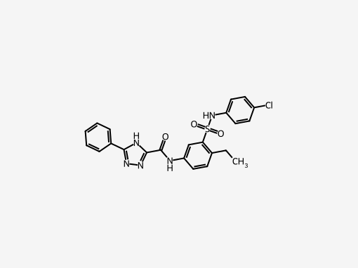 CCc1ccc(NC(=O)c2nnc(-c3ccccc3)[nH]2)cc1S(=O)(=O)Nc1ccc(Cl)cc1